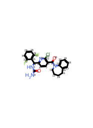 NC(=O)NC(c1ccc(C(=O)N2CCCCc3ccccc32)c(Cl)n1)c1c(F)cccc1F